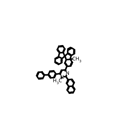 CN1C(c2ccc(-c3ccccc3)cc2)=CC(C2=CC3C(C)(C=C2)c2ccc#cc2C32c3ccccc3-c3ccccc32)=NC1c1ccc2ccccc2c1